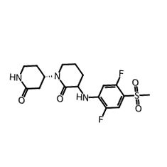 CS(=O)(=O)c1cc(F)c(NC2CCCN([C@H]3CCNC(=O)C3)C2=O)cc1F